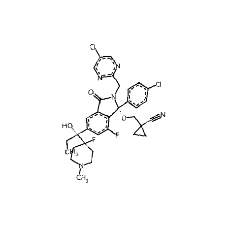 CC[C@@](O)(c1cc(F)c2c(c1)C(=O)N(Cc1ncc(Cl)cn1)[C@@]2(OCC1(C#N)CC1)c1ccc(Cl)cc1)C1(F)CCN(C)CC1